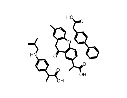 C=C(C)CNc1ccc(C(C)C(=O)O)cc1.Cc1ccc2c(c1)CC(=O)c1cc(C(C)C(=O)O)ccc1O2.O=C(O)Cc1ccc(-c2ccccc2)cc1